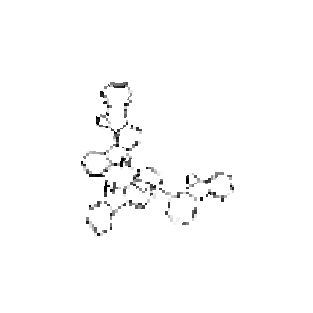 c1ccc2c(c1)oc1c(-c3ccc(-n4c5ccc6c7ccccc7oc6c5c5cccc(-n6c7ccccc7c7ccccc76)c54)cc3)cccc12